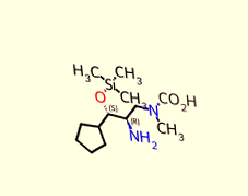 CN(C[C@@H](N)[C@@H](O[Si](C)(C)C)C1CCCC1)C(=O)O